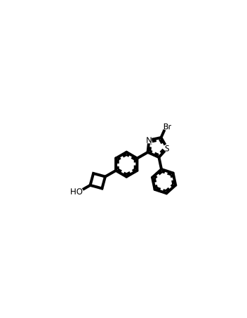 OC1CC(c2ccc(-c3nc(Br)sc3-c3ccccc3)cc2)C1